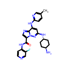 Cc1ccc(Nc2cc(N[C@H]3CC[C@H](N)CC3)nn3c(C(=O)Nc4ccncc4F)cnc23)nc1